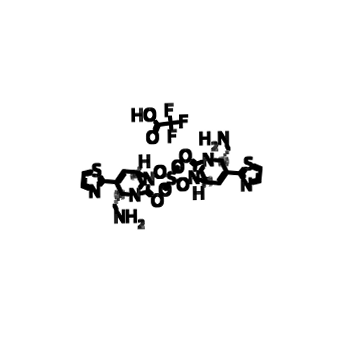 NC[C@@H]1C(c2nccs2)=C[C@@H]2CN1C(=O)N2OS(=O)(=O)ON1C(=O)N2C[C@H]1C=C(c1nccs1)[C@H]2CN.O=C(O)C(F)(F)F